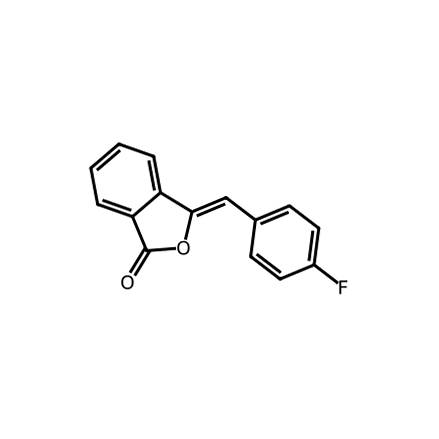 O=C1OC(=Cc2ccc(F)cc2)c2ccccc21